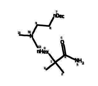 CCCCCCC(C)(C)C(N)=O.CCCCCCCCCCCCN(C)C